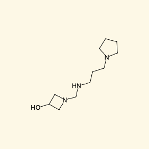 OC1CN(CNCCCN2CCCC2)C1